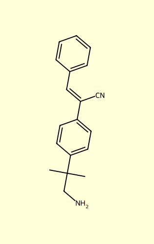 CC(C)(CN)c1ccc(/C(C#N)=C/c2ccccc2)cc1